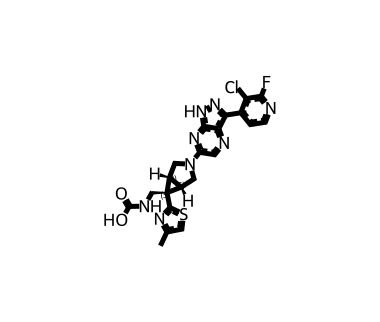 Cc1csc([C@]2(CNC(=O)O)[C@@H]3CN(c4cnc5c(-c6ccnc(F)c6Cl)n[nH]c5n4)C[C@@H]32)n1